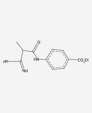 CCCC(=N)C(C)C(=O)Nc1ccc(C(=O)OCC)cc1